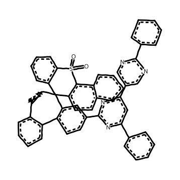 O=S1(=O)c2ccccc2C2(c3ccccc3-c3ccccc3-c3ccc(-c4nc(-c5ccccc5)cc(-c5cnc(-c6ccccc6)nc5)n4)cc32)c2ccc3ccccc3c21